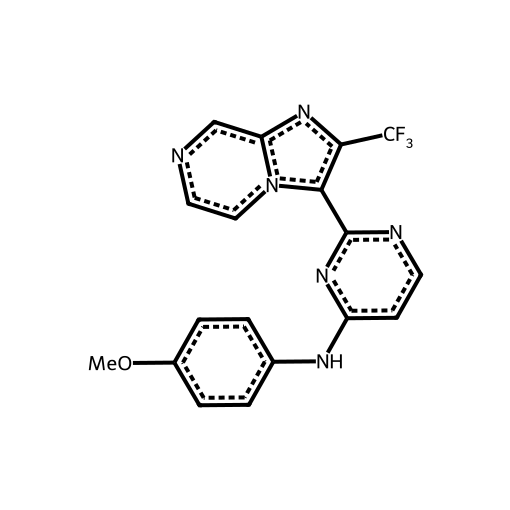 COc1ccc(Nc2ccnc(-c3c(C(F)(F)F)nc4cnccn34)n2)cc1